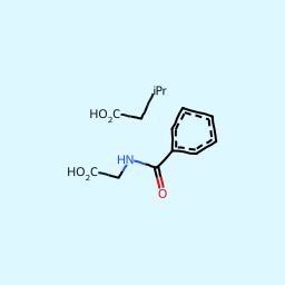 CC(C)CC(=O)O.O=C(O)CNC(=O)c1ccccc1